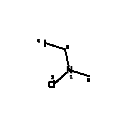 CN(Cl)CI